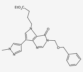 CCOC(=O)CCCn1cc(-c2cnn(C)c2)c2ncn(COCc3ccccc3)c(=O)c21